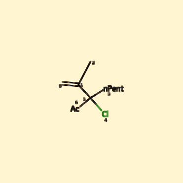 C=C(C)C(Cl)(CCCCC)C(C)=O